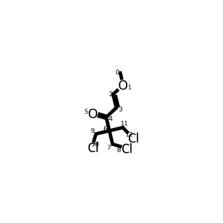 COC=CC(=O)C(CCl)(CCl)CCl